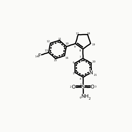 NS(=O)(=O)c1ccc(C2=C(c3ccc(F)cc3)CCC2)cn1